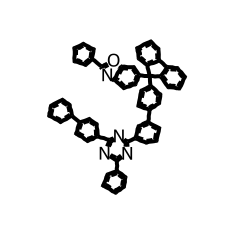 c1ccc(-c2ccc(-c3nc(-c4ccccc4)nc(-c4cccc(-c5ccc(C6(c7ccc8nc(-c9ccccc9)oc8c7)c7ccccc7-c7ccccc76)cc5)c4)n3)cc2)cc1